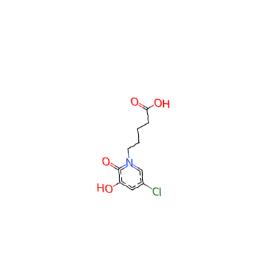 O=C(O)CCCCn1cc(Cl)cc(O)c1=O